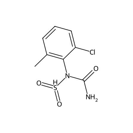 Cc1cccc(Cl)c1N(C(N)=O)[SH](=O)=O